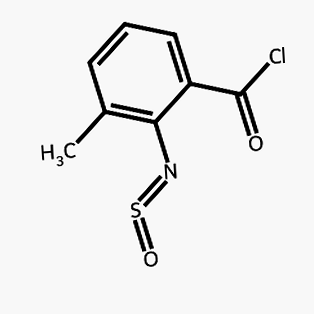 Cc1cccc(C(=O)Cl)c1N=S=O